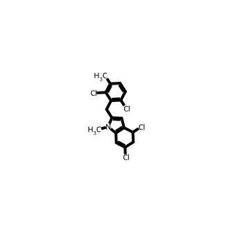 Cc1ccc(Cl)c(Cc2cc3c(n2C)C=C(Cl)CC3Cl)c1Cl